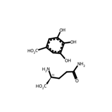 NC(=O)CC[C@H](N)C(=O)O.O=C(O)c1cc(O)c(O)c(O)c1